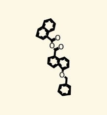 O=C(OC(=O)c1cccc2c(OCc3ccccc3)cccc12)c1cccc2ccccc12